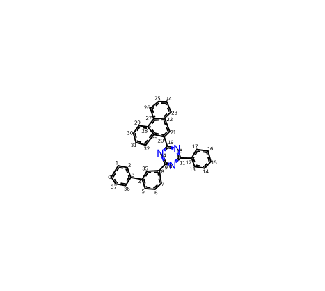 c1ccc(-c2cccc(-c3nc(-c4ccccc4)nc(-c4cc5ccccc5c5ccccc45)n3)c2)cc1